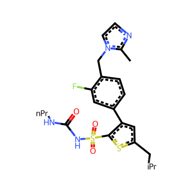 CCCNC(=O)NS(=O)(=O)c1sc(CC(C)C)cc1-c1ccc(Cn2ccnc2C)c(F)c1